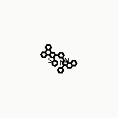 c1ccc(-c2nc(-c3cccc(-c4cc5c6ccccc6c6ccccc6c5c5sc6ccccc6c45)c3)nc3c2ccc2ccccc23)cc1